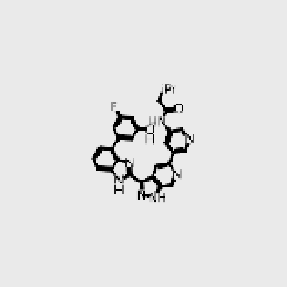 CC(C)CC(=O)Nc1cncc(-c2cc3c(-c4nc5c(-c6cc(O)cc(F)c6)cccc5[nH]4)n[nH]c3cn2)c1